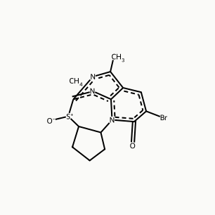 C.Cc1nc2nc3c1cc(Br)c(=O)n3C1CCCC1[S+]2[O-]